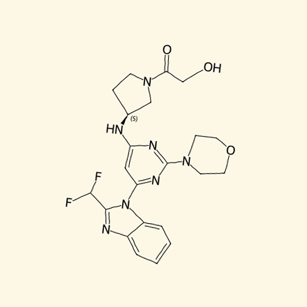 O=C(CO)N1CC[C@H](Nc2cc(-n3c(C(F)F)nc4ccccc43)nc(N3CCOCC3)n2)C1